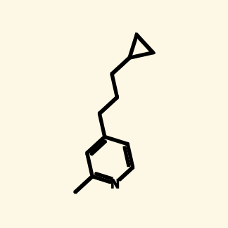 Cc1cc(CCCC2CC2)ccn1